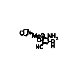 COc1c(N)c(O)cc(C#N)c1OCCCN1CCOCC1